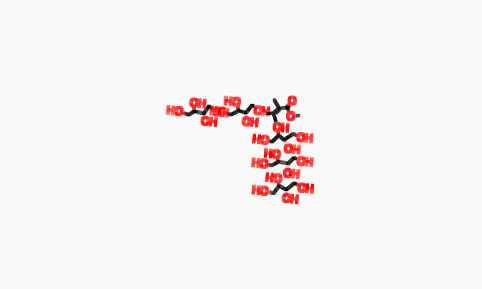 COC(=O)C(C)=C(C)C.OC[C@@H](O)[C@@H](O)CO.OC[C@@H](O)[C@@H](O)CO.OC[C@@H](O)[C@@H](O)CO.OC[C@@H](O)[C@@H](O)CO.OC[C@@H](O)[C@@H](O)CO